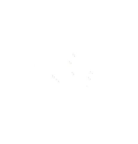 CCC(C1CCC1)n1cc(-c2nc(-c3cnn(CC(O)CO)c3)cn3nccc23)cn1